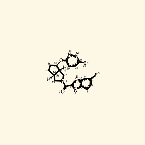 O=C(c1nc2ccc(F)cc2s1)N1C[C@@H]2CC[C@@H](Oc3ccc(Br)nn3)[C@@H]2C1